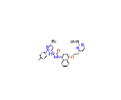 CNc1nccc(CCOc2ccc(NC(=O)Nc3cc(C(C)(C)C)nn3-c3ccc(C)cc3)c3ccccc23)n1